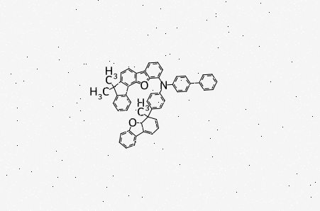 CC1(C)c2ccccc2-c2c1ccc1c2oc2c(N(c3ccc(-c4ccccc4)cc3)c3ccc(C4(C)C=CC=C5c6ccccc6OC54)cc3)cccc21